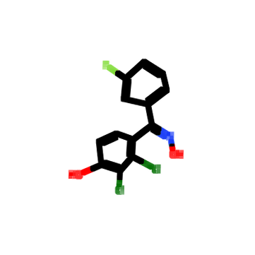 ON=C(c1cccc(F)c1)c1ccc(O)c(Cl)c1Cl